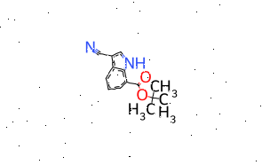 CC(C)(C)OC(=O)c1cccc2c(C#N)c[nH]c12